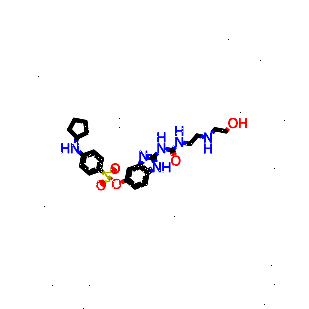 O=C(NCCNCCO)Nc1nc2cc(OS(=O)(=O)c3ccc(NC4CCCC4)cc3)ccc2[nH]1